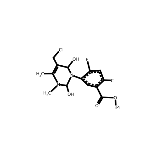 CC1=C(CCl)C(O)N(c2cc(C(=O)OC(C)C)c(Cl)cc2F)C(O)N1C